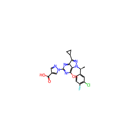 C[C@@H](c1ccc(F)c(Cl)c1)n1nc(C2CC2)c2nc(-n3cc(C(=O)O)cn3)nc(O)c21